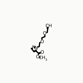 C#CCOCCOCCn1nccc1C(=O)OC